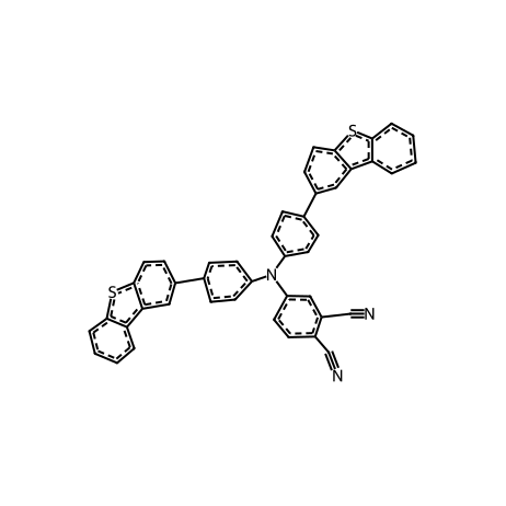 N#Cc1ccc(N(c2ccc(-c3ccc4sc5ccccc5c4c3)cc2)c2ccc(-c3ccc4sc5ccccc5c4c3)cc2)cc1C#N